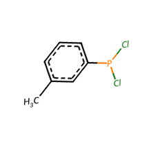 Cc1cccc(P(Cl)Cl)c1